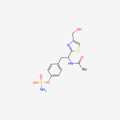 CC(C)(C)C(=O)NC(Cc1ccc(OS(N)(=O)=O)cc1)c1nc(CO)cs1